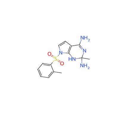 Cc1ccccc1S(=O)(=O)n1ccc2c1NC(C)(N)N=C2N